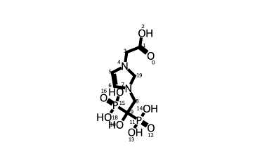 O=C(O)CN1C=CN(CC(O)(P(=O)(O)O)P(=O)(O)O)C1